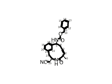 C[C@@H]1/C=C/C[C@H](NC(=O)OCc2ccccc2)c2cccc(c2)C[C@H](CC#N)NC1=O